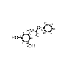 O=C(Nc1cc(O)cc(O)c1)Oc1ccccc1